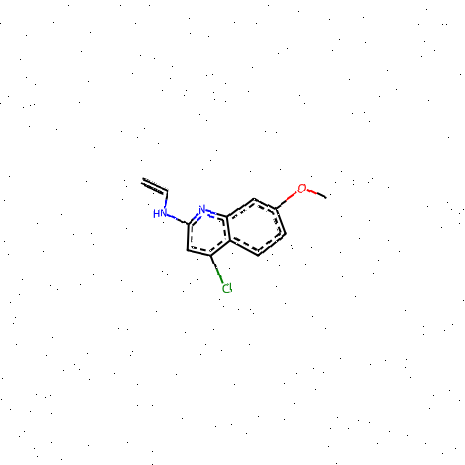 C=CNc1cc(Cl)c2ccc(OC)cc2n1